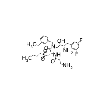 CCCCS(=O)(=O)C[C@@H](NC(=O)CCN)C(=O)N(Cc1cccc(CC)c1)C[C@@H](O)[C@@H](N)Cc1cc(F)cc(F)c1